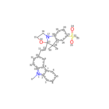 Cn1c2ccccc2c2cc(C=CC34OCCN3c3ccc(S(C)(=O)=O)cc3C4(C)C)ccc21